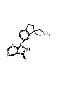 CC[C@@]1(O)CCc2ccc(-n3[nH]c(=O)c4cncnc43)nc21